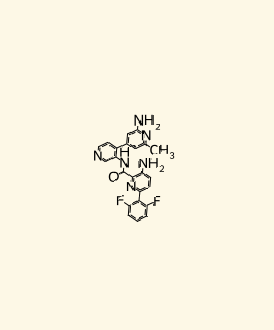 Cc1cc(-c2ccncc2NC(=O)c2nc(-c3c(F)cccc3F)ccc2N)cc(N)n1